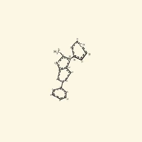 Cc1nc2cc(-c3cc[c]cc3)ccc2n1-c1ccccc1